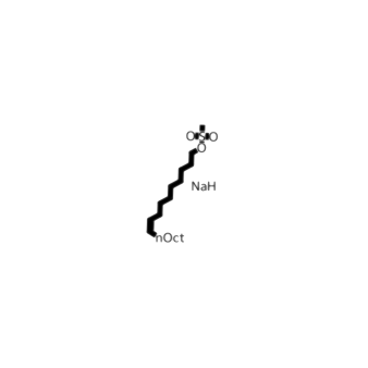 CCCCCCCC/C=C\CCCCCCCCOS(C)(=O)=O.[NaH]